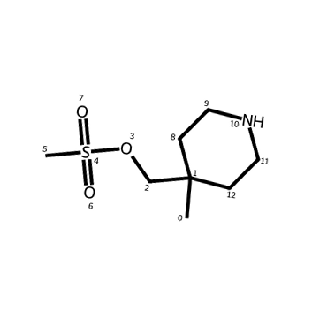 CC1(COS(C)(=O)=O)CCNCC1